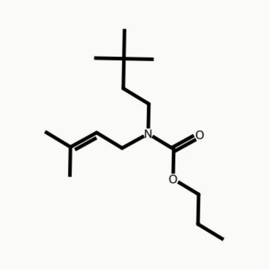 CCCOC(=O)N(CC=C(C)C)CCC(C)(C)C